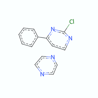 Clc1nccc(-c2ccccc2)n1.c1cnccn1